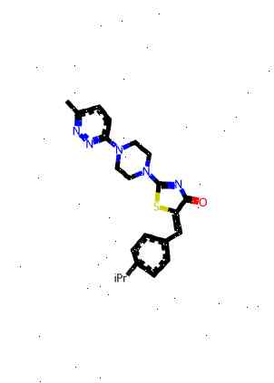 Cc1ccc(N2CCN(C3=NC(=O)C(=Cc4ccc(C(C)C)cc4)S3)CC2)nn1